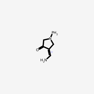 N/C=C1/CN(P)CC1=O